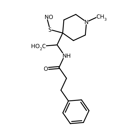 CN1CCC(SN=O)(C(NC(=O)CCc2ccccc2)C(=O)O)CC1